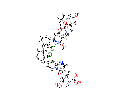 COc1nc(-c2cccc(-c3cccc(-c4ccn5c(=O)c(CN6C[C@@H](O)C[C@H]6C(=O)O)cnc5c4)c3Cl)c2Cl)ccc1CN(CC1CCC(=O)N1)C(=O)OC(C)(C)C